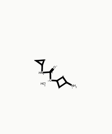 Cl.NC1CC(OC(=O)NC2CC2)C1